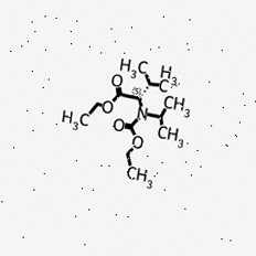 CCOC(=O)[C@H](C(C)C)N(C(=O)OCC)C(C)C